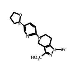 CC(C)n1nc(C(=O)O)c2c1CCN(c1ccc([C@H]3CCCO3)cn1)C2